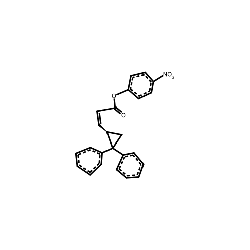 O=C(/C=C\[C@H]1CC1(c1ccccc1)c1ccccc1)Oc1ccc([N+](=O)[O-])cc1